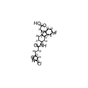 O=C(O)Cn1c2c(c3cc(F)ccc31)C[C@@H](NC(=O)CCc1cc(Cl)no1)CC2